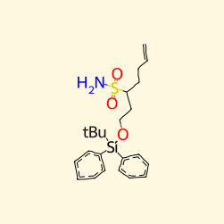 C=CCCC(CCO[Si](c1ccccc1)(c1ccccc1)C(C)(C)C)S(N)(=O)=O